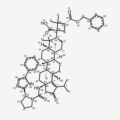 CC(C)C1=C2[C@H]3CC[C@@H]4[C@]5(C)CC[C@H]([C@@]6(C(=O)O)C[C@@H](C(=O)OCc7ccccc7)C6(C)C)C(C)(C)[C@H]5CC[C@@]4(C)[C@]3(C)CC[C@@]2(NC(=O)N2CCC[C@H]2c2ncc(-c3ccccc3)[nH]2)CC1=O